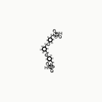 O=c1[nH]c(=O)n(Cc2ccc(OCc3cccc(COc4ccc(Cn5oc(=O)[nH]c5=O)cc4)c3)cc2)o1